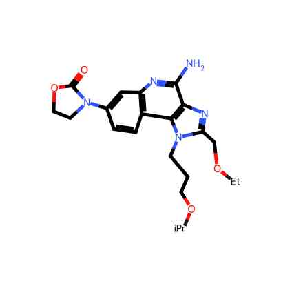 CCOCc1nc2c(N)nc3cc(N4CCOC4=O)ccc3c2n1CCCOC(C)C